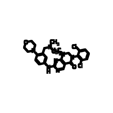 CN(C)Cc1cc(Nc2ncc3c(n2)N(C)CN(c2c(Cl)cccc2Cl)C3=O)ccc1N1CCOCC1